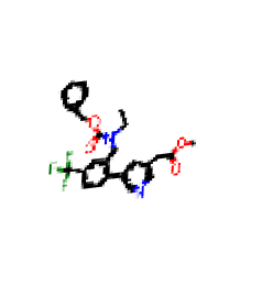 CCN(Cc1cc(C(F)(F)F)ccc1-c1cncc(CC(=O)OC)c1)C(=O)OCc1ccccc1